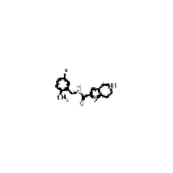 Cc1ccc(F)cc1CNC(=O)c1cc2c(s1)CCNC2